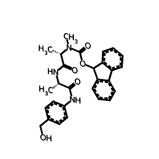 C[C@H](NC(=O)[C@H](C)N(C)C(=O)OC1c2ccccc2-c2ccccc21)C(=O)Nc1ccc(CO)cc1